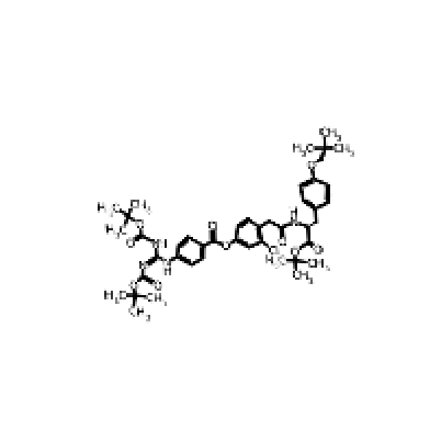 CC(C)(C)COc1ccc(C[C@H](NC(=O)Cc2ccc(OC(=O)c3ccc(N/C(=N\C(=O)OC(C)(C)C)NC(=O)OC(C)(C)C)cc3)cc2Cl)C(=O)OC(C)(C)C)cc1